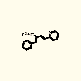 CCCCCC(C=Cc1ccccn1)=Cc1ccccc1